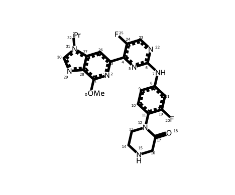 COc1nc(-c2nc(Nc3ccc(N4CCNCC4=O)c(F)c3)ncc2F)cc2c1ncn2C(C)C